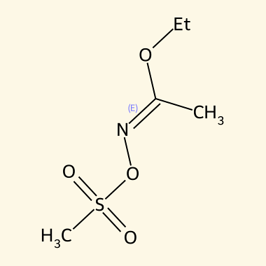 CCO/C(C)=N/OS(C)(=O)=O